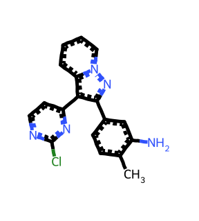 Cc1ccc(-c2nn3ccccc3c2-c2ccnc(Cl)n2)cc1N